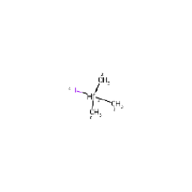 [CH3][Hf]([CH3])([CH3])[I]